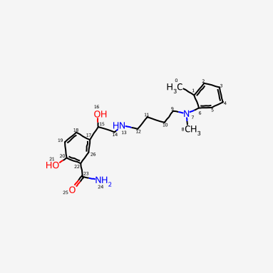 Cc1ccccc1N(C)CCCCNCC(O)c1ccc(O)c(C(N)=O)c1